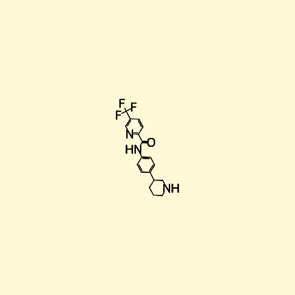 O=C(Nc1ccc(C2CCCNC2)cc1)c1ccc(C(F)(F)F)cn1